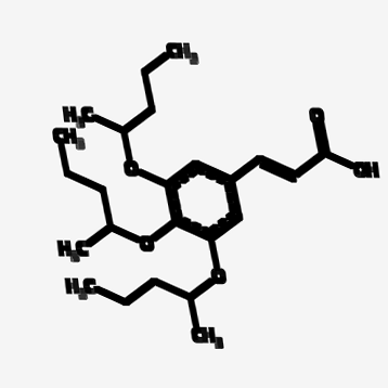 CCCC(C)Oc1cc(/C=C/C(=O)O)cc(OC(C)CCC)c1OC(C)CCC